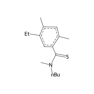 CCCCN(C)C(=S)c1cc(CC)c(C)cc1C